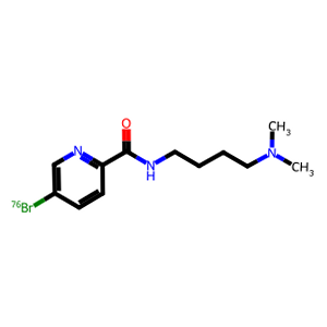 CN(C)CCCCNC(=O)c1ccc([76Br])cn1